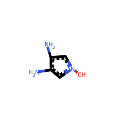 Nc1cn(O)cc1N